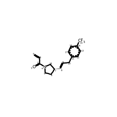 C=CC(=O)N1CC[C@@H](/C=C/Cc2ccc(C(F)(F)F)cc2)C1